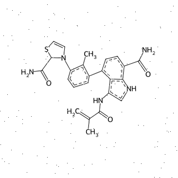 C=C(C)C(=O)Nc1c[nH]c2c(C(N)=O)ccc(-c3cccc(N4C=CSC4C(N)=O)c3C)c12